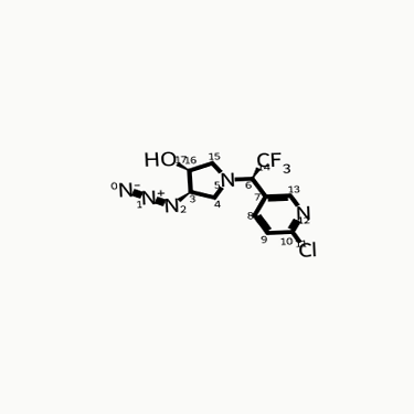 [N-]=[N+]=N[C@@H]1CN([C@H](c2ccc(Cl)nc2)C(F)(F)F)C[C@@H]1O